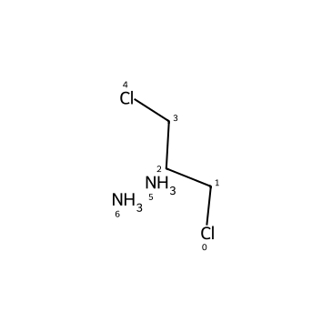 ClCCCCl.N.N